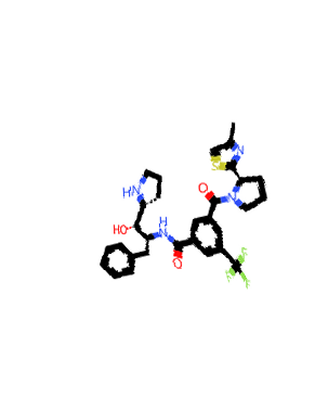 Cc1csc([C@H]2CCCN2C(=O)c2cc(C(=O)N[C@@H](Cc3ccccc3)[C@H](O)[C@H]3CCCN3)cc(C(F)(F)F)c2)n1